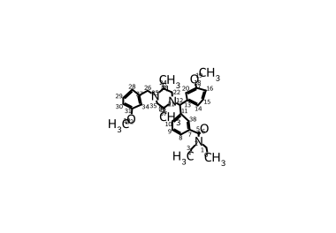 CCN(CC)C(=O)c1cccc(C(c2cccc(OC)c2)N2C[C@@H](C)N(Cc3cccc(OC)c3)C[C@H]2C)c1